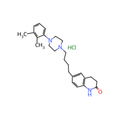 Cc1cccc(N2CCN(CCCCc3ccc4c(c3)CCC(=O)N4)CC2)c1C.Cl